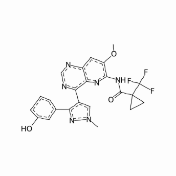 COc1cc2ncnc(-c3cn(C)nc3-c3cccc(O)c3)c2nc1NC(=O)C1(C(F)(F)F)CC1